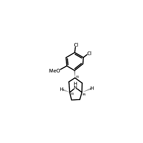 COc1cc(Cl)c(Cl)cc1[C@@H]1C[C@H]2CC[C@@H](C1)N2